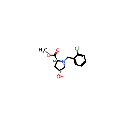 COC(=O)[C@@H]1C[C@@H](O)CN1Cc1ccccc1Cl